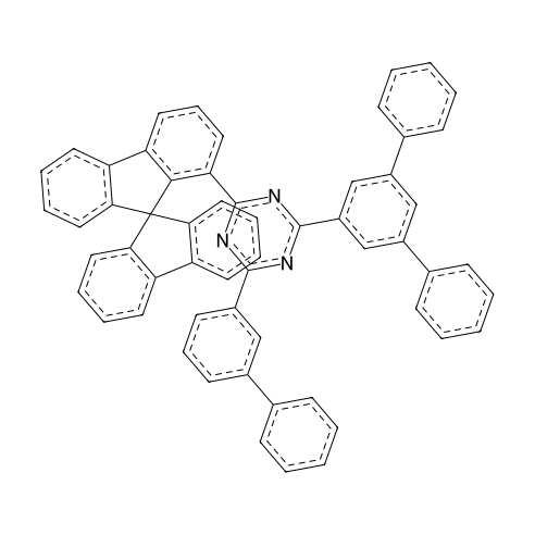 c1ccc(-c2cccc(-c3nc(-c4cc(-c5ccccc5)cc(-c5ccccc5)c4)nc(-c4cccc5c4C4(c6ccccc6-c6ccccc64)c4ccccc4-5)n3)c2)cc1